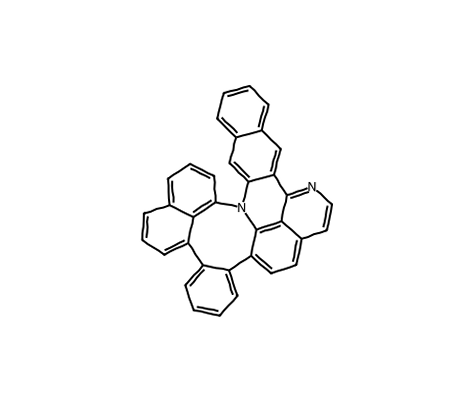 c1ccc2c(c1)-c1ccc3ccnc4c3c1N(c1cc3ccccc3cc1-4)c1cccc3cccc-2c13